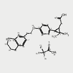 CC1(C)C(CC(=O)O)C1c1ccc(OCCc2ccc3c(n2)NCCC3)cc1.O=C(O)C(F)(F)F